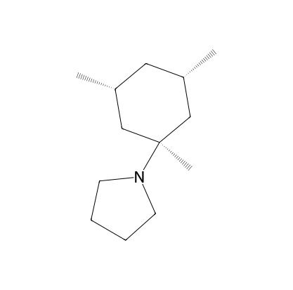 C[C@@H]1C[C@H](C)C[C@@](C)(N2CCCC2)C1